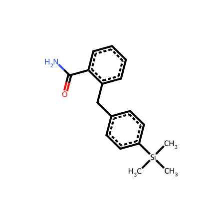 C[Si](C)(C)c1ccc(Cc2ccccc2C(N)=O)cc1